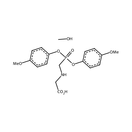 CO.COc1ccc(OP(=O)(CNCC(=O)O)Oc2ccc(OC)cc2)cc1